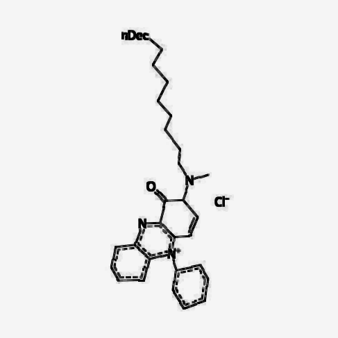 CCCCCCCCCCCCCCCCCCN(C)C1C=Cc2c(nc3ccccc3[n+]2-c2ccccc2)C1=O.[Cl-]